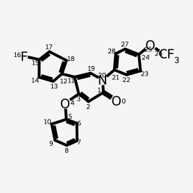 O=c1cc(Oc2ccccc2)c(-c2ccc(F)cc2)cn1-c1ccc(OC(F)(F)F)cc1